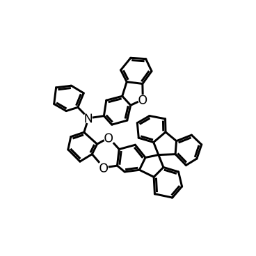 c1ccc(N(c2ccc3oc4ccccc4c3c2)c2cccc3c2Oc2cc4c(cc2O3)-c2ccccc2C42c3ccccc3-c3ccccc32)cc1